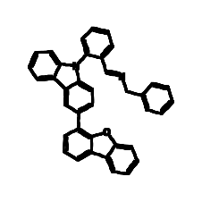 C(=N\Cc1ccccc1)/c1ccccc1-n1c2ccccc2c2cc(-c3cccc4c3oc3ccccc34)ccc21